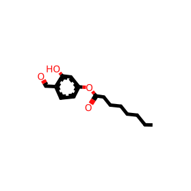 CCCCCCCC(=O)Oc1ccc(C=O)c(O)c1